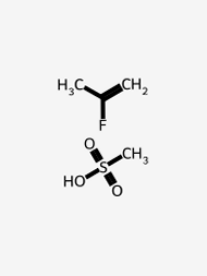 C=C(C)F.CS(=O)(=O)O